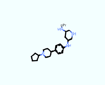 CCCNC1CNCC(Nc2ccc(C3CCN(C4CCCC4)CC3)cc2)C1